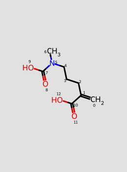 C=C(CCCN(C)C(=O)O)C(=O)O